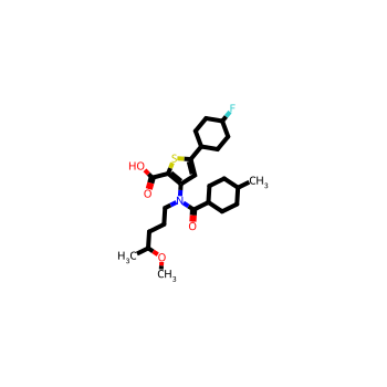 COC(C)CCCN(C(=O)C1CCC(C)CC1)c1cc(C2CCC(F)CC2)sc1C(=O)O